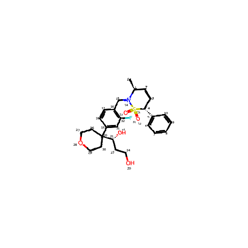 C[C@H]1CC[C@H](c2ccccc2)S(=O)(=O)N1Cc1ccc(C2([C@H](O)CCO)CCOCC2)cc1F